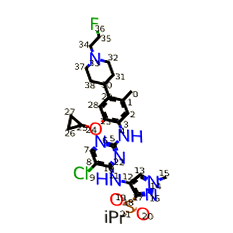 Cc1cc(Nc2ncc(Cl)c(Nc3cn(C)nc3S(=O)(=O)C(C)C)n2)c(OC2CC2)cc1C1CCN(CCF)CC1